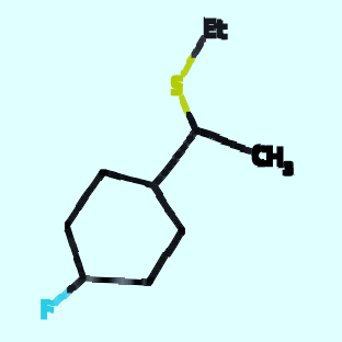 CCSC(C)C1CCC(F)CC1